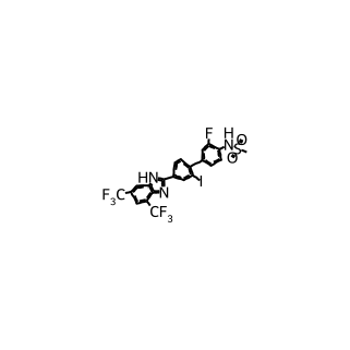 CS(=O)(=O)Nc1ccc(-c2ccc(-c3nc4c(C(F)(F)F)cc(C(F)(F)F)cc4[nH]3)cc2I)cc1F